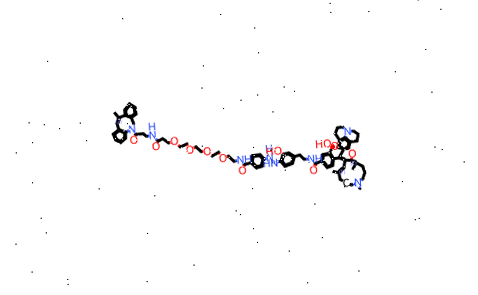 C/C1=C/c2ccccc2N(C(=O)CCNC(=O)CCOCCOCCOCCOCCNC(=O)c2ccc(NNc3ccc(CCNC(=O)c4ccc(C5=C6/C=C(\C)CCCN(C)CCC/C(C)=C/6Oc6c5cc5c7c6CCCN7CCC5)c(C(=O)O)c4)cc3O)cc2)Cc2ccccc21